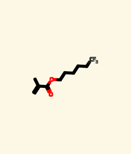 C=C(C)C(=O)OCCCCCC(F)(F)F